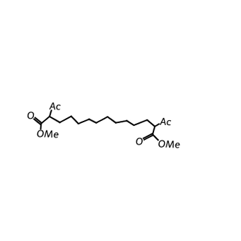 COC(=O)C(CCCCCCCCCCC(C(C)=O)C(=O)OC)C(C)=O